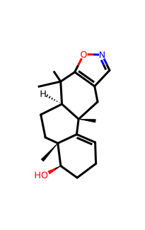 CC1(C)c2oncc2C[C@]2(C)C3=CCC[C@@H](O)[C@]3(C)CC[C@@H]12